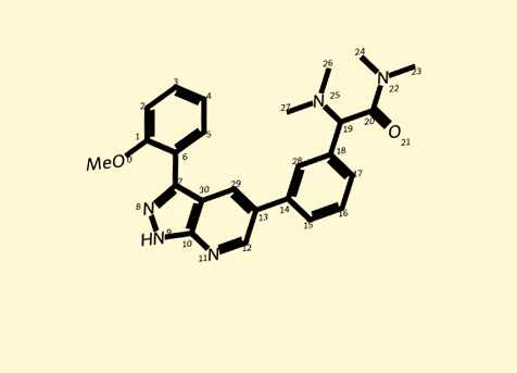 COc1ccccc1-c1n[nH]c2ncc(-c3cccc(C(C(=O)N(C)C)N(C)C)c3)cc12